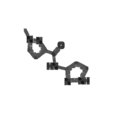 Cn1ccc(C(=O)Nc2cc[nH]n2)n1